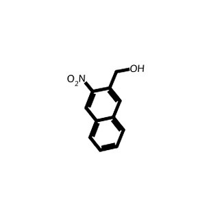 O=[N+]([O-])c1cc2ccccc2cc1CO